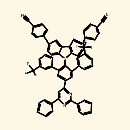 N#Cc1ccc(-c2ccc3c(c2)c2cc(-c4ccc(C#N)cc4)ccc2n3-c2c(-c3cccc(C(F)(F)F)c3)cc(-c3cc(-c4ccccc4)nc(-c4ccccc4)n3)cc2-c2cccc(C(F)(F)F)c2)cc1